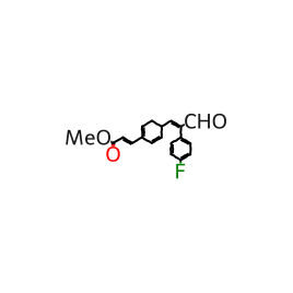 COC(=O)/C=C/C1=CCC(/C=C(/C=O)c2ccc(F)cc2)C=C1